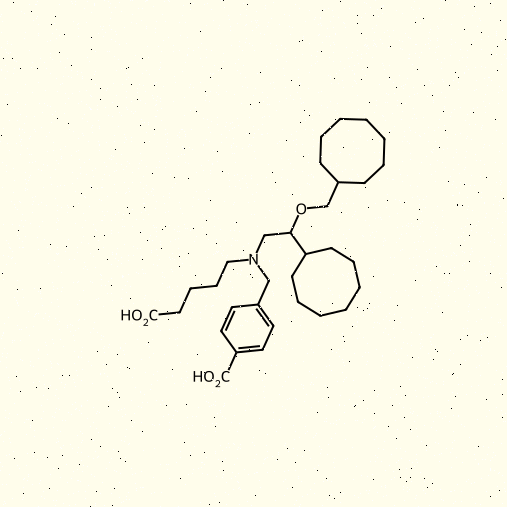 O=C(O)CCCCN(Cc1ccc(C(=O)O)cc1)CC(OCC1CCCCCCC1)C1CCCCCCC1